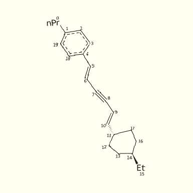 CCCc1ccc(C=CC#CC=C[C@H]2CC[C@H](CC)CC2)cc1